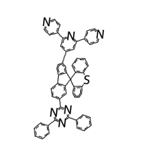 c1ccc(-c2nc(-c3ccccc3)nc(-c3ccc4c(c3)C3(c5ccccc5Sc5ccccc53)c3cc(-c5cc(-c6ccncc6)nc(-c6ccncc6)c5)ccc3-4)n2)cc1